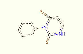 S=c1cc[nH]c(=S)n1-c1ccccc1